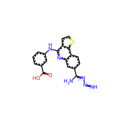 N=N/N=C(\N)c1ccc2c(c1)nc(Nc1cccc(C(=O)O)c1)c1ccsc12